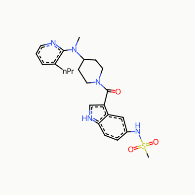 CCCc1cccnc1N(C)C1CCN(C(=O)c2c[nH]c3ccc(NS(C)(=O)=O)cc23)CC1